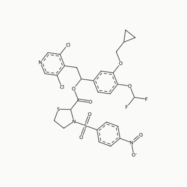 O=C(OC(Cc1c(Cl)cncc1Cl)c1ccc(OC(F)F)c(OCC2CC2)c1)C1SCCN1S(=O)(=O)c1ccc([N+](=O)[O-])cc1